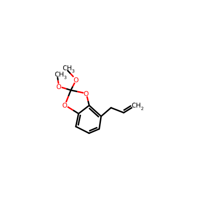 C=CCc1cccc2c1OC(OC)(OC)O2